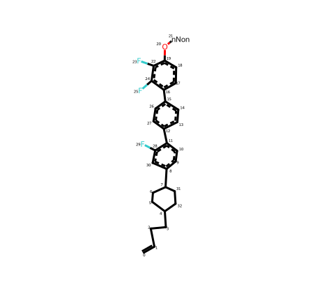 C=CCCC1CCC(c2ccc(-c3ccc(-c4ccc(OCCCCCCCCC)c(F)c4F)cc3)c(F)c2)CC1